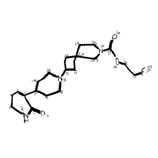 O=C1NCCC=C1C1CCN(C2CC3(CCN(C(=O)OCCF)C3)C2)CC1